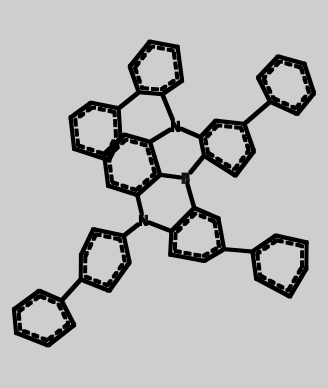 c1ccc(-c2ccc(N3c4ccc(-c5ccccc5)cc4B4c5ccc(-c6ccccc6)cc5N(c5ccccc5-c5ccccc5)c5cccc3c54)cc2)cc1